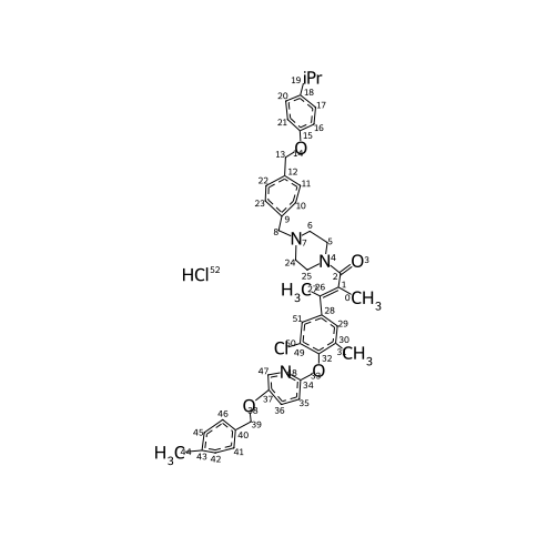 CC(C(=O)N1CCN(Cc2ccc(COc3ccc(C(C)C)cc3)cc2)CC1)=C(C)c1cc(C)c(Oc2ccc(OCc3ccc(C)cc3)cn2)c(Cl)c1.Cl